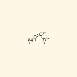 [Ag].[O-2].[O-2].[Ti+4]